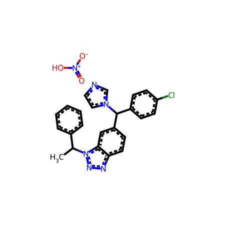 CC(c1ccccc1)n1nnc2ccc(C(c3ccc(Cl)cc3)n3ccnc3)cc21.O=[N+]([O-])O